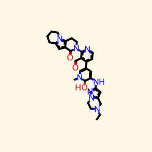 CCN1CCn2nc(NC3=CC(c4ccnc(N5CCc6c(cc7n6CCCC7)C5=O)c4C=O)=CN(C)C3O)cc2C1